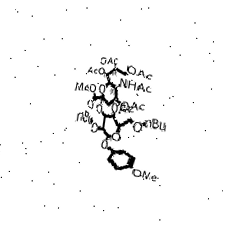 CCCCOCC1O[C@@H](Oc2ccc(OC)cc2)C(OCCCC)C(O[C@]2(C(=O)OC)CC(OC(C)=O)[C@@H](NC(C)=O)C([C@H](OC(C)=O)[C@@H](COC(C)=O)OC(C)=O)O2)[C@H]1OC(C)=O